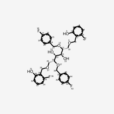 Oc1cccc(F)c1COC[C@@H](OCc1ccc(F)cc1)[C@@H](O)[C@H](O)[C@@H](COCc1c(O)cccc1F)OCc1ccc(F)cc1